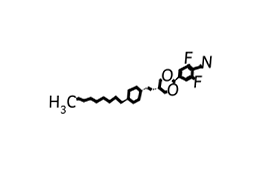 CCCCCCCCC[C@H]1CC[C@H](CC[C@H]2CO[C@H](c3cc(F)c(C#N)c(F)c3)OC2)CC1